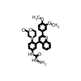 COc1ccc(-c2cc(-c3cc(NC(=O)NN)ccc3N(CCCl)CCCl)c3ccccc3n2)cc1OC